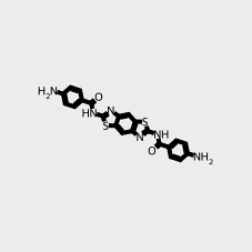 Nc1ccc(C(=O)Nc2nc3cc4sc(NC(=O)c5ccc(N)cc5)nc4cc3s2)cc1